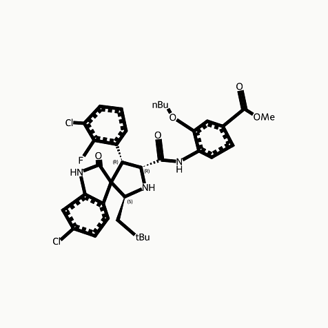 CCCCOc1cc(C(=O)OC)ccc1NC(=O)[C@@H]1N[C@@H](CC(C)(C)C)C2(C(=O)Nc3cc(Cl)ccc32)[C@@H]1c1cccc(Cl)c1F